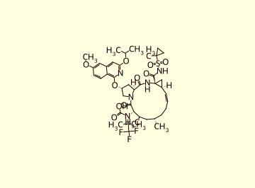 COc1ccc2c(O[C@@H]3C[C@H]4C(=O)N[C@]5(C(=O)NS(=O)(=O)C6(C)CC6)C[C@H]5/C=C\CC[C@H](C)C[C@@H](C)[C@H](N(C(=O)O)C(C)(C)C(F)(F)F)C(=O)N4C3)nc(OC(C)C)cc2c1